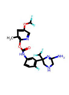 Cc1cc(OC(F)F)cnc1OC(=O)Nc1ccc(F)c(C2(C(F)F)CNCC(N)=N2)c1